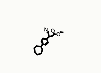 CCOC(=O)CC(C#N)c1ccc(C2CCCCCC2)cc1